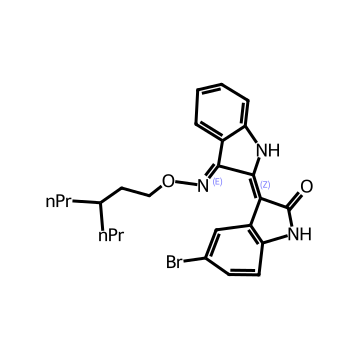 CCCC(CCC)CCO/N=C1/C(=C2/C(=O)Nc3ccc(Br)cc32)Nc2ccccc21